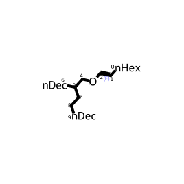 CCCCCC/C=C/OCC(CCCCCCCCCC)CCCCCCCCCCCC